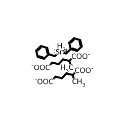 CC(CCCC(=O)[O-])C(=O)[O-].CC(CCCC(=O)[O-])C(=O)[O-].c1ccc([CH2][SnH2+4][CH2]c2ccccc2)cc1